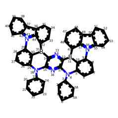 c1ccc(N2c3cccc4c3B(c3nc5c(nc32)N(c2ccccc2)c2cccc3c2B5c2cccc5c6ccccc6n-3c25)c2cccc3c5ccccc5n-4c23)cc1